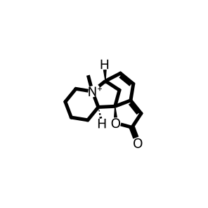 C[N+]12CCCC[C@@H]1[C@]13C[C@H]2C=CC1=CC(=O)O3